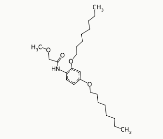 CCCCCCCCOc1ccc(NC(=O)COC)c(OCCCCCCCC)c1